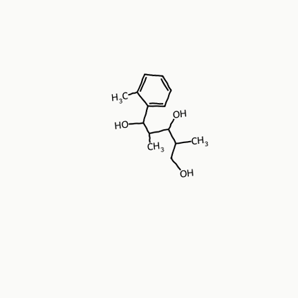 Cc1ccccc1C(O)C(C)C(O)C(C)CO